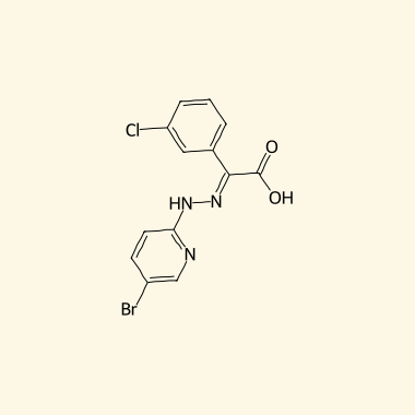 O=C(O)/C(=N/Nc1ccc(Br)cn1)c1cccc(Cl)c1